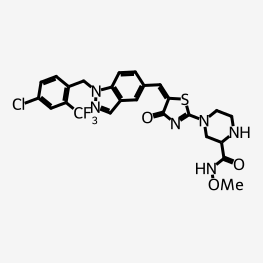 CONC(=O)C1CN(C2=NC(=O)C(=Cc3ccc4c(cnn4Cc4ccc(Cl)cc4C(F)(F)F)c3)S2)CCN1